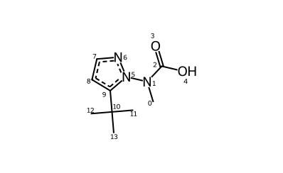 CN(C(=O)O)n1nccc1C(C)(C)C